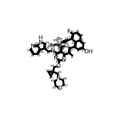 Cc1c(-c2cc(O)cc3ccc(F)c(C#C[Si](C(C)C)(C(C)C)C(C)C)c23)oc(=O)c2c(NCc3c[nH]c4ncccc34)nc(OCC3(CN4CCOCC4)CC3)nc12